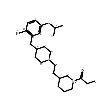 CCC(=O)N1CCCC(CCN2CCC(Cc3cc(OC(C)C)ccc3Br)CC2)C1